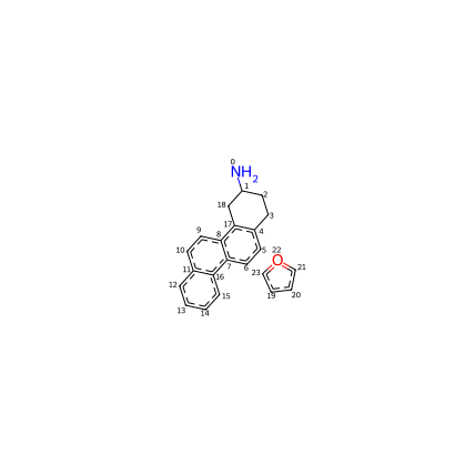 NC1CCc2ccc3c(ccc4ccccc43)c2C1.c1ccoc1